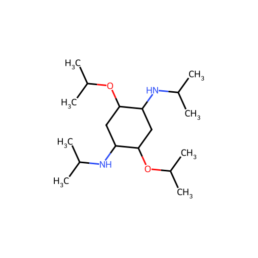 CC(C)NC1CC(OC(C)C)C(NC(C)C)CC1OC(C)C